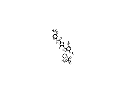 COc1ccnc(NC(=O)c2ccc(-c3nc([C@@H]4CCCN(C(=O)C5(C)COC5)C4)n4c(C)cnc(N)c34)c(F)c2)c1